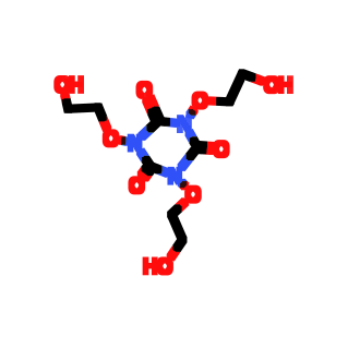 O=c1n(OCCO)c(=O)n(OCCO)c(=O)n1OCCO